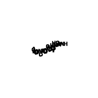 COc1cc(NC(=O)C2CCC(N3Cc4c(C)cc(NCC5(O)CNC5)cc4C3=O)CC2)ccc1C